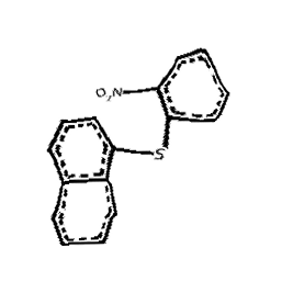 O=[N+]([O-])c1ccccc1Sc1cccc2ccccc12